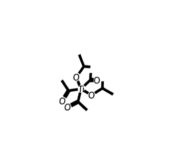 C[C](=O)[Ti]([O]C(C)C)([O]C(C)C)([C](C)=O)[C](C)=O